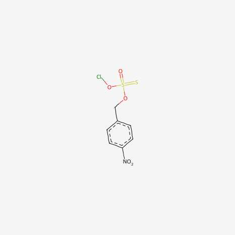 O=[N+]([O-])c1ccc(COS(=O)(=S)OCl)cc1